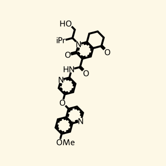 COc1ccc2c(Oc3ccc(NC(=O)c4cc5c(n(C(CO)C(C)C)c4=O)CCCC5=O)nc3)ccnc2c1